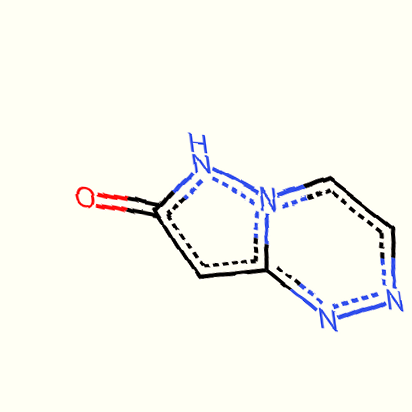 O=c1cc2nnccn2[nH]1